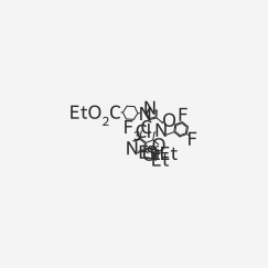 CCOC(=O)C1CCC(n2ncc(C(=O)N(Cc3cc(F)cc(F)c3)CC(O[Si](CC)(CC)CC)c3c(Cl)cncc3Cl)c2C(F)(F)F)CC1